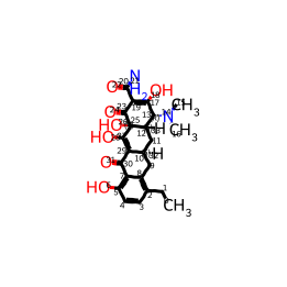 CCc1ccc(O)c2c1C[C@@H]1C[C@H]3[C@@H](N(C)C)C(O)=C(C(N)=O)C(=O)[C@@]3(O)C(O)=C1C2=O